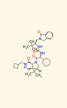 CC(C)(C)[C@@H](CN1Cc2ccccc2C1=O)NC(=O)N[C@H](C(=O)N1C[C@H]2[C@@H]([C@H]1C(=O)NCC1CCC1)C2(C)C)C1CCCCC1